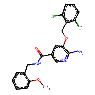 COc1ccccc1CNC(=O)c1cnc(N)c(OCc2c(Cl)cccc2Cl)c1